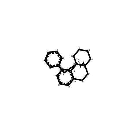 c1ccc(CN2CCC34CCCCC23c2ccccc2CC4)cc1